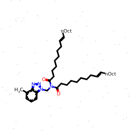 CCCCCCCCC=CCCCCCCCC(=O)N(Cn1nnc2c(C)cccc21)C(=O)CCCCCCCC=CCCCCCCCC